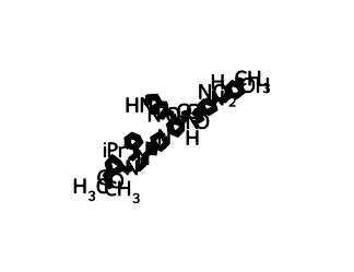 CC(C)c1ccccc1C1CN(Cc2cccc3c2OC(C)(C)O3)CCN1C1CC2(CCN(c3ccc(C(=O)NS(=O)(=O)c4ccc(NCC5CCC(C)(O)CC5)c([N+](=O)[O-])c4)c(Oc4cnc5[nH]ccc5c4)c3)CC2)C1